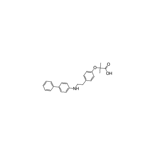 CC(C)(Oc1ccc(CCNc2ccc(-c3ccccc3)cc2)cc1)C(=O)O